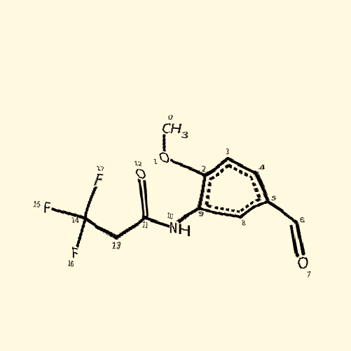 COc1ccc(C=O)cc1NC(=O)CC(F)(F)F